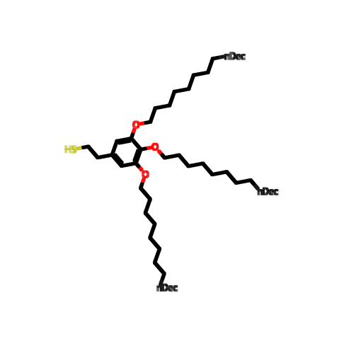 CCCCCCCCCCCCCCCCCCOc1cc(CCS)cc(OCCCCCCCCCCCCCCCCCC)c1OCCCCCCCCCCCCCCCCCC